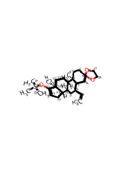 CCC1=C2CC3(CC[C@]2(C)[C@H]2CC[C@]4(C)C(O[Si](C)(C)C)=CC[C@H]4[C@@H]2C1)OCCO3